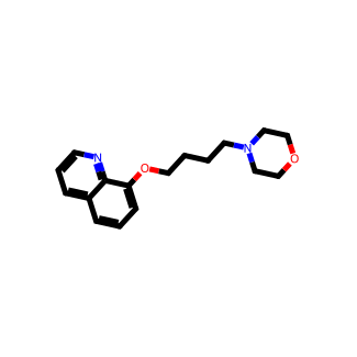 c1cnc2c(OCCCCN3CCOCC3)cccc2c1